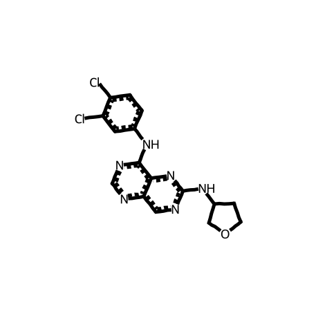 Clc1ccc(Nc2ncnc3cnc(NC4CCOC4)nc23)cc1Cl